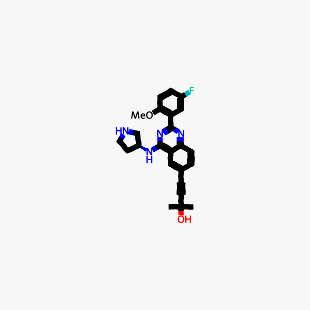 COc1ccc(F)cc1-c1nc(N[C@H]2CCNC2)c2cc(C#CC(C)(C)O)ccc2n1